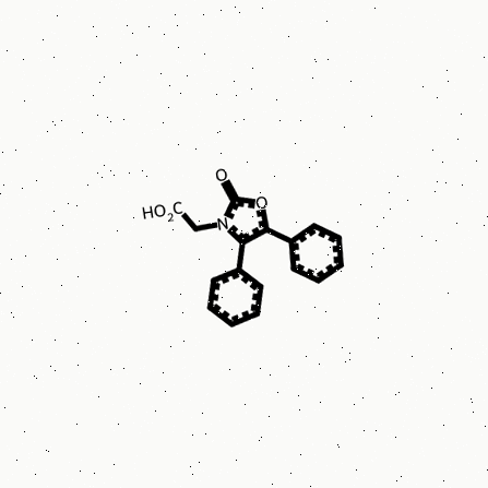 O=C(O)Cn1c(-c2ccccc2)c(-c2ccccc2)oc1=O